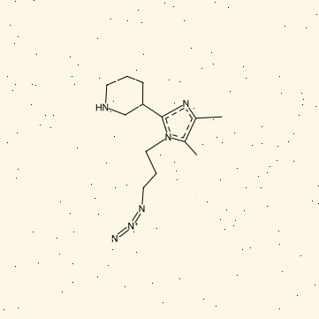 Cc1nc(C2CCCNC2)n(CCCN=[N+]=[N-])c1C